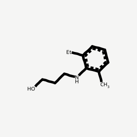 CCc1cccc(C)c1NCCCO